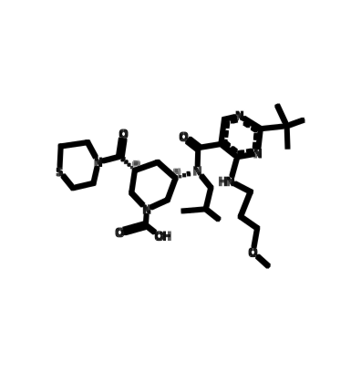 COCCCNc1nc(C(C)(C)C)ncc1C(=O)N(CC(C)C)[C@H]1C[C@@H](C(=O)N2CCSCC2)CN(C(=O)O)C1